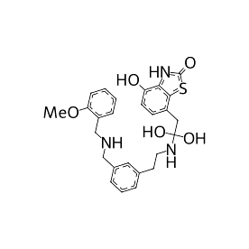 COc1ccccc1CNCc1cccc(CCNC(O)(O)Cc2ccc(O)c3[nH]c(=O)sc23)c1